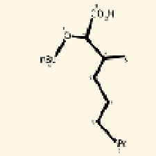 CCCCOC(C(=O)O)C(C)CCCC(C)C